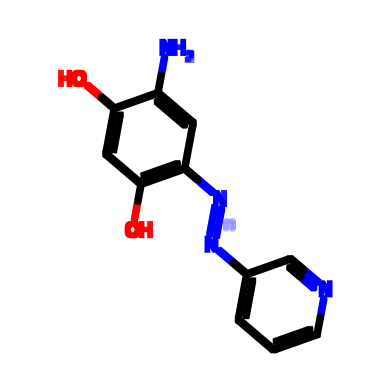 Nc1cc(/N=N/c2cccnc2)c(O)cc1O